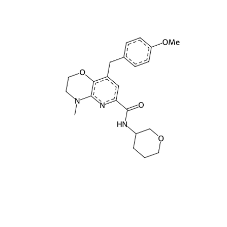 COc1ccc(Cc2cc(C(=O)NC3CCCOC3)nc3c2OCCN3C)cc1